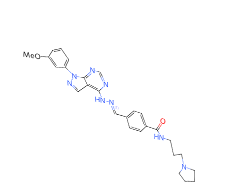 COc1cccc(-n2ncc3c(N/N=C/c4ccc(C(=O)NCCCN5CCCC5)cc4)ncnc32)c1